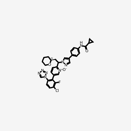 O=C(Nc1ccc(-c2cnn(C(C[C@@H]3CCCCO3)c3ccc(-c4c(-n5cnnn5)ccc(Cl)c4F)c[n+]3[O-])c2)cc1)C1CC1